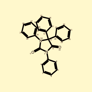 O=C1N(c2ccccc2)C(=O)C(c2ccccc2)(c2ccccc2)N1c1ccccc1